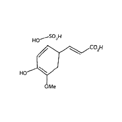 COC1=C(O)C=CC(C=CC(=O)O)C1.O=S(=O)(O)O